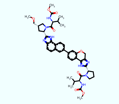 COC[C@H]1C[C@@H](c2nc3ccc4cc(-c5ccc6c(c5)OCc5nc([C@@H]7CCCN7C(=O)[C@@H](NC(=O)OC)C(C)C)[nH]c5-6)ccc4c3[nH]2)N(C(=O)[C@@H](NC(=O)OC)C(C)C)C1